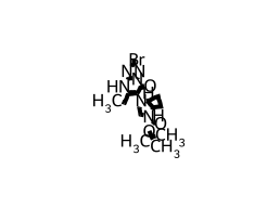 CCc1[nH]c2nc(Br)nn2c(=O)c1N1CCN(C(=O)OC(C)(C)C)[C@@H]2CC[C@H]21